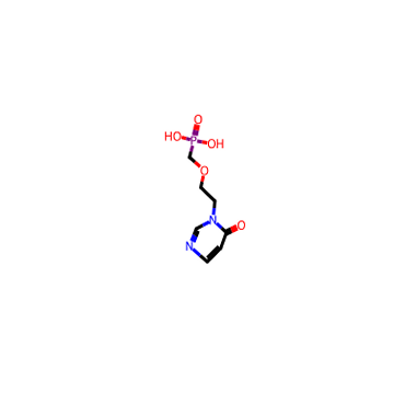 O=c1ccncn1CCOCP(=O)(O)O